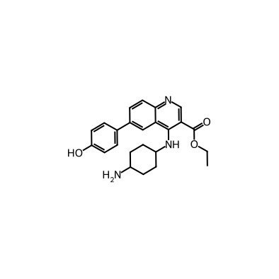 CCOC(=O)c1cnc2ccc(-c3ccc(O)cc3)cc2c1NC1CCC(N)CC1